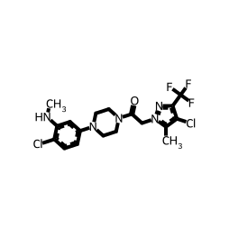 CNc1cc(N2CCN(C(=O)Cn3nc(C(F)(F)F)c(Cl)c3C)CC2)ccc1Cl